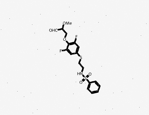 COC(C=O)COc1c(F)cc(SCCNS(=O)(=O)c2ccccc2)cc1F